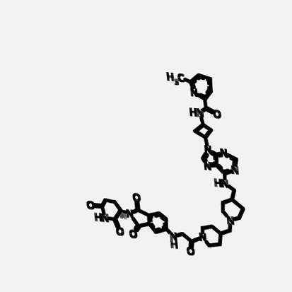 Cc1cccc(C(=O)NC2CC(n3cnc4c(NCC5CCN(CC6CCN(C(=O)CNc7ccc8c(c7)C(=O)N([C@@H]7CCC(=O)NC7=O)C8=O)CC6)CC5)ncnc43)C2)n1